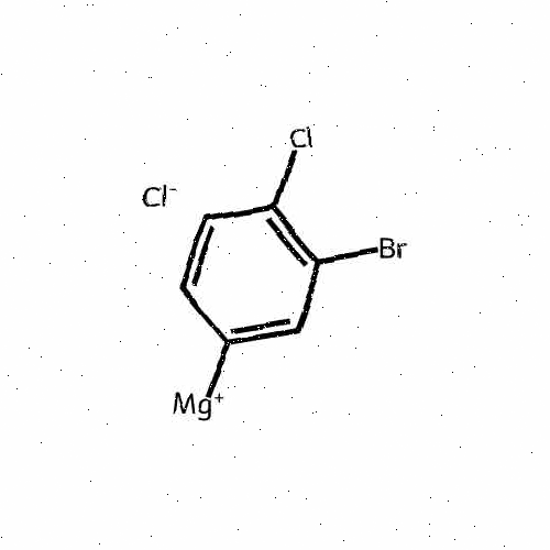 [Cl-].[Mg+][c]1ccc(Cl)c(Br)c1